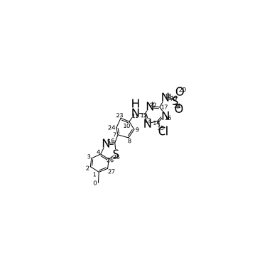 Cc1ccc2nc(-c3ccc(Nc4nc(Cl)nc(N=S(=O)=O)n4)cc3)sc2c1